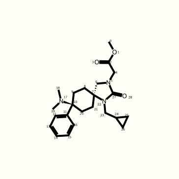 COC(=O)CN1C[C@]2(CC[C@](c3ccccc3)(N(C)C)CC2)N(CC2CC2)C1=O